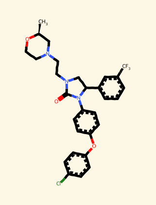 C[C@H]1CN(CCN2CC(c3cccc(C(F)(F)F)c3)N(c3ccc(Oc4ccc(Cl)cc4)cc3)C2=O)CCO1